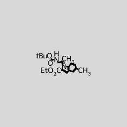 CCOC(=O)c1cc2cc(C)ccc2n1[C@H](C)CNC(=O)OC(C)(C)C